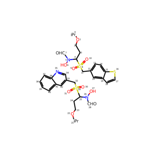 CC(C)OCCC(N(O)C=O)S(=O)(=O)Cc1ccc2sccc2c1.CC(C)OCCC(N(O)C=O)S(=O)(=O)Cc1cnc2ccccc2c1